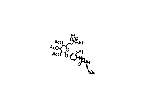 CCCCC#CNC(=O)Nc1ccc(O[C@H]2O[C@H](CCP(=O)(OCC)OCC)[C@@H](OC(C)=O)[C@H](OC(C)=O)[C@@H]2OC(C)=O)cc1O